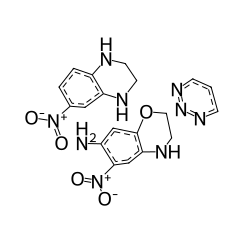 Nc1cc2c(cc1[N+](=O)[O-])NCCO2.O=[N+]([O-])c1ccc2c(c1)NCCN2.c1cnnnc1